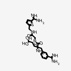 N=C(N)c1cccc(CC(N)(CCC(O)O)C(=O)NCC(=O)NCc2ccc(C(=N)N)s2)c1